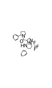 O=C(c1cnn2c1N[C@@H](c1ccccc1)C[C@H]2C(F)(F)F)N1CCCC1c1ccccc1